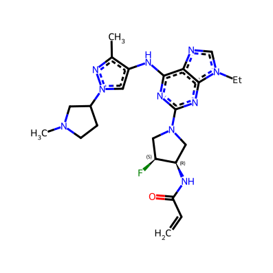 C=CC(=O)N[C@@H]1CN(c2nc(Nc3cn(C4CCN(C)C4)nc3C)c3ncn(CC)c3n2)C[C@@H]1F